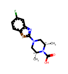 C[C@@H]1CN(c2nc3cc(F)ccc3s2)C[C@H](C)N1C(=O)O